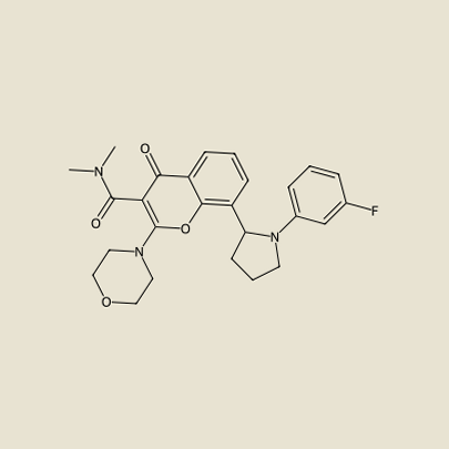 CN(C)C(=O)c1c(N2CCOCC2)oc2c(C3CCCN3c3cccc(F)c3)cccc2c1=O